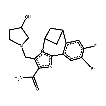 NC(=O)c1nc2n(c1CN1CCC(O)C1)C1CC(C1)c1cc(F)c(Br)cc1-2